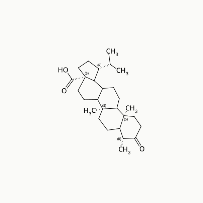 CC(C)[C@H]1CC[C@]2(C(=O)O)CCC3C(CCC4[C@@]3(C)CCC3[C@@H](C)C(=O)CC[C@@]34C)C12